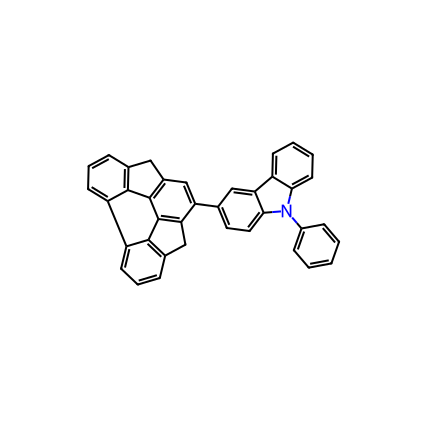 c1ccc(-n2c3ccccc3c3cc(-c4cc5c6c7c(cccc7c7cccc8c7c6c4C8)C5)ccc32)cc1